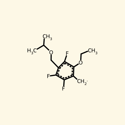 [CH2]c1c(F)c(F)c(COC(C)C)c(F)c1OCC